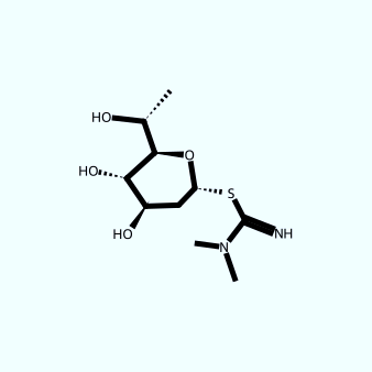 C[C@@H](O)[C@H]1O[C@H](SC(=N)N(C)C)C[C@@H](O)[C@@H]1O